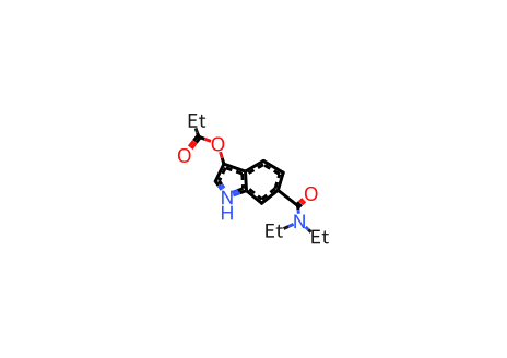 CCC(=O)Oc1c[nH]c2cc(C(=O)N(CC)CC)ccc12